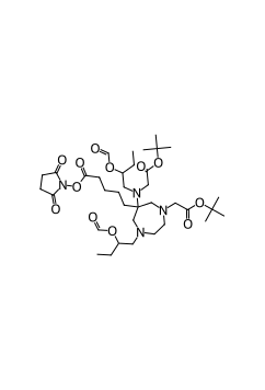 CCC(CN1CCN(CC(=O)OC(C)(C)C)CC(CCCCC(=O)ON2C(=O)CCC2=O)(N(CC(=O)OC(C)(C)C)CC(CC)OC=O)C1)OC=O